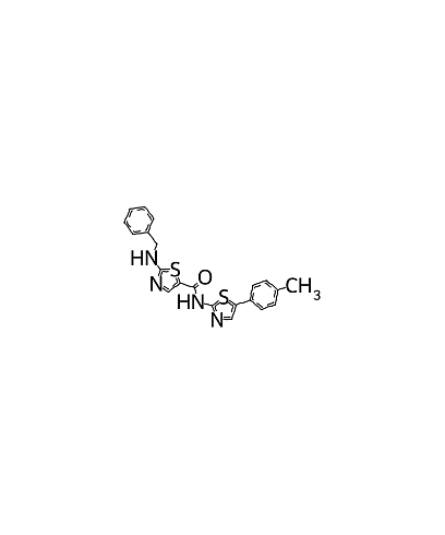 Cc1ccc(-c2cnc(NC(=O)c3cnc(NCc4ccccc4)s3)s2)cc1